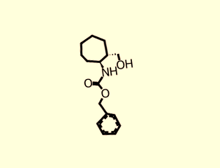 O=C(N[C@H]1CCCCC[C@@H]1CO)OCc1ccccc1